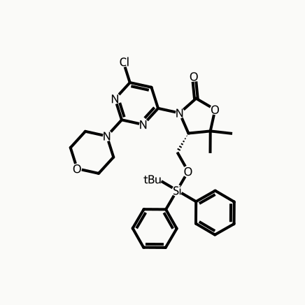 CC1(C)OC(=O)N(c2cc(Cl)nc(N3CCOCC3)n2)[C@H]1CO[Si](c1ccccc1)(c1ccccc1)C(C)(C)C